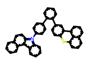 c1ccc(-c2ccc3c(c2)-c2cccc4cccc(c24)S3)c(-c2ccc(-n3c4ccccc4c4c5ccccc5ccc43)cc2)c1